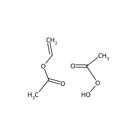 C=COC(C)=O.CC(=O)OO